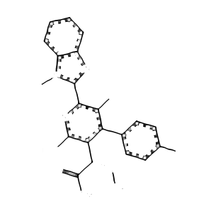 CCn1c(-c2nc(C)c([C@H](OC(C)(C)C)C(=O)OC)c(-c3ccc(Cl)cc3)c2C)nc2ccccc21